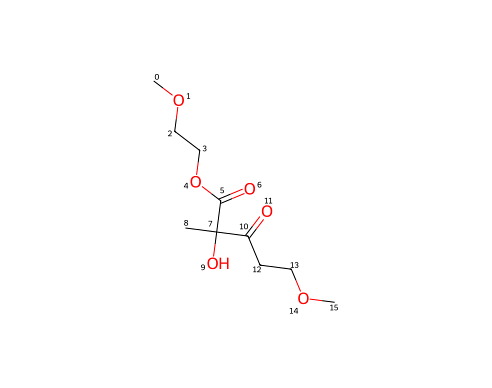 COCCOC(=O)C(C)(O)C(=O)CCOC